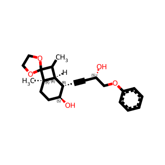 CC1[C@H]2[C@H](C#C[C@H](O)COc3ccccc3)[C@@H](O)CC[C@@]2(C)C12OCCO2